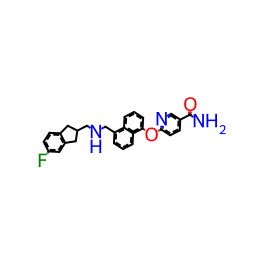 NC(=O)c1ccc(Oc2cccc3c(CNCC4Cc5ccc(F)cc5C4)cccc23)nc1